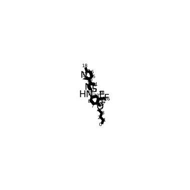 CCCCCOc1ccc(Nc2nc(-c3ccc(C)nc3)cs2)cc1C(F)(F)F